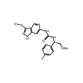 CCOc1n[nH]c2cc(NC(=O)N[C@@H](COC)c3ccc(F)cc3)ncc12